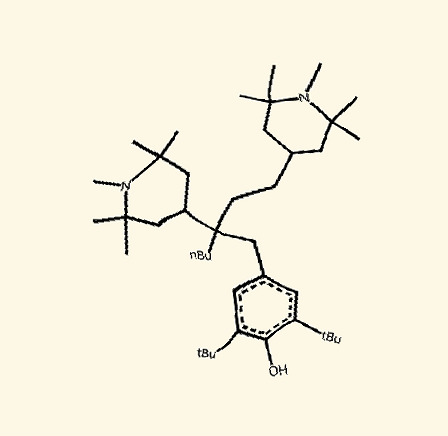 CCCCC(CCC1CC(C)(C)N(C)C(C)(C)C1)(Cc1cc(C(C)(C)C)c(O)c(C(C)(C)C)c1)C1CC(C)(C)N(C)C(C)(C)C1